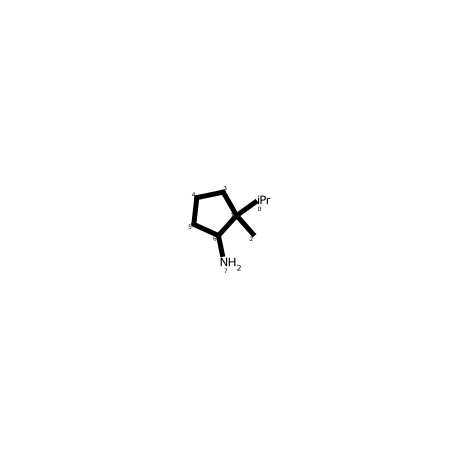 CC(C)C1(C)CCCC1N